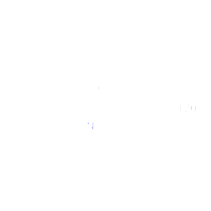 CC(C)(C)c1ccc2nc(-c3ccccc3)sc2c1